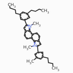 CCCCc1cc(C)cc(-c2cc3ccc4c(ccc5cc(-c6cc(CCCC)cc(CCCC)c6)n(C)c54)c3n2C)c1